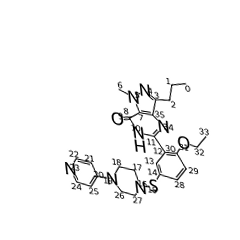 CCCc1nn(C)c2c(=O)[nH]c(-c3cc(SN4CCN(c5ccncc5)CC4)ccc3OCC)nc12